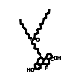 CCCCCCCCCCCC(=O)N(CCCCCCCC)CCCCCC[C@@H]1Cc2cc(O)ccc2C2C1C1CC[C@H](O)[C@@]1(C)C[C@@H]2F